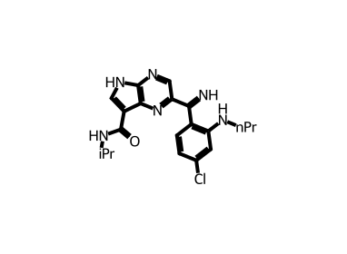 CCCNc1cc(Cl)ccc1C(=N)c1cnc2[nH]cc(C(=O)NC(C)C)c2n1